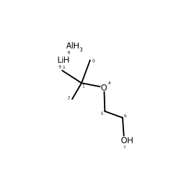 CC(C)(C)OCCO.[AlH3].[LiH]